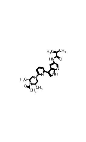 C=C(C)C(=O)Nc1cnc2[nH]cc(-c3cccc(N4C[C@@H](C)N(C(C)=O)[C@@H](C)C4)n3)c2c1